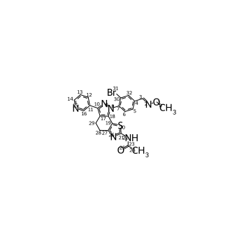 CON=Cc1ccc(-n2nc(-c3cccnc3)c3c2-c2sc(NC(C)=O)nc2CC3)c(Br)c1